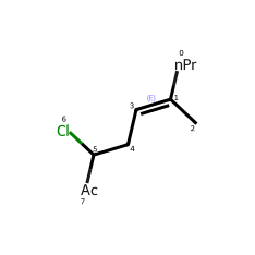 CCC/C(C)=C/CC(Cl)C(C)=O